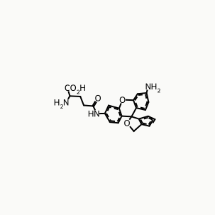 Nc1ccc2c(c1)Oc1cc(NC(=O)CCC(N)C(=O)O)ccc1C21OCc2ccccc21